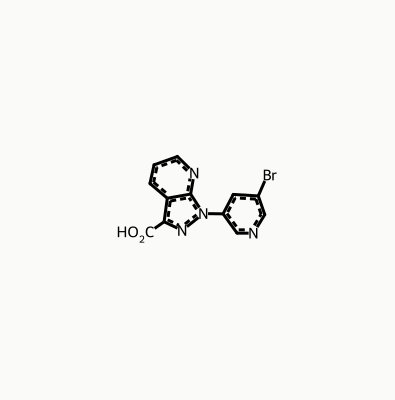 O=C(O)c1nn(-c2cncc(Br)c2)c2ncccc12